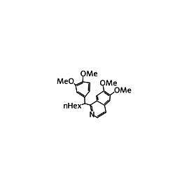 CCCCCCC(c1ccc(OC)c(OC)c1)c1nccc2cc(OC)c(OC)cc12